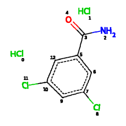 Cl.Cl.NC(=O)c1cc(Cl)cc(Cl)c1